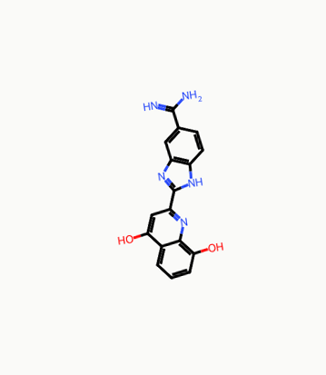 N=C(N)c1ccc2[nH]c(-c3cc(O)c4cccc(O)c4n3)nc2c1